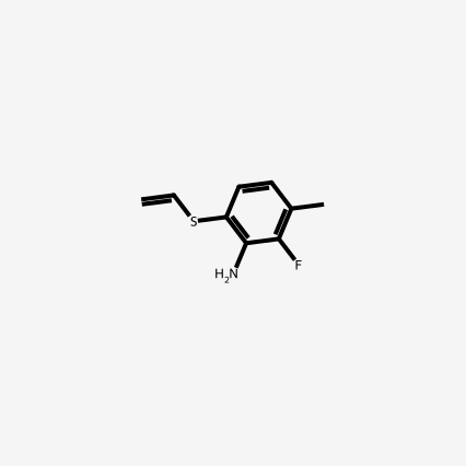 C=CSc1ccc(C)c(F)c1N